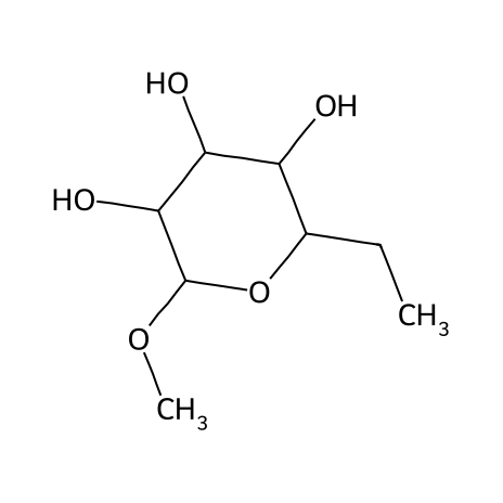 CCC1OC(OC)C(O)C(O)C1O